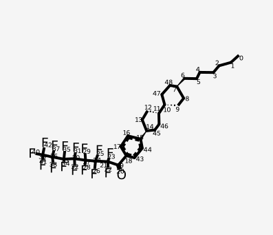 CCCCCCC[C@H]1CC[C@H]([C@H]2CC[C@H](c3ccc(C(=O)C(F)(F)C(F)(F)C(F)(F)C(F)(F)C(F)(F)C(F)(F)C(F)(F)F)cc3)CC2)CC1